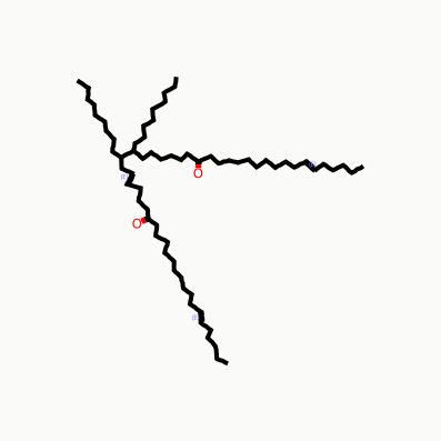 CCCCC/C=C/CCCCCCCCCCC(=O)CCC/C=C/CC(CCCCCCCCC)C(CCCCCCCCC)CCCCCCC(=O)CCCCCCCCCC/C=C/CCCCC